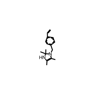 C=Cc1ccc(CN2C(C)=C(C)NC2(C)C)cc1